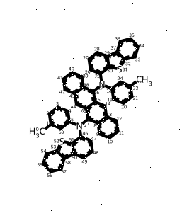 Cc1cccc(N(c2c3ccccc3cc3c(N(c4cccc(C)c4)c4cccc5c4sc4ccccc45)c4ccccc4cc23)c2cccc3c2sc2ccccc23)c1